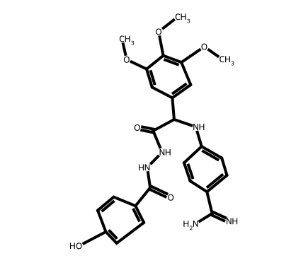 COc1cc(C(Nc2ccc(C(=N)N)cc2)C(=O)NNC(=O)c2ccc(O)cc2)cc(OC)c1OC